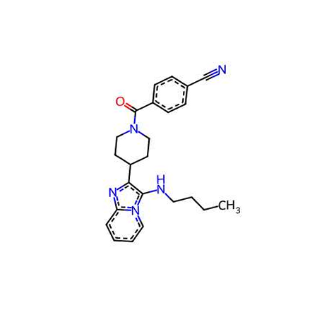 CCCCNc1c(C2CCN(C(=O)c3ccc(C#N)cc3)CC2)nc2ccccn12